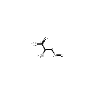 CC(=O)C(N)CN=O